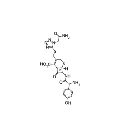 NC(=O)Cn1nnnc1SCC1=C(C(=O)O)N2C(=O)C(NC(=O)C(N)c3ccc(O)cc3)[C@H]2SC1